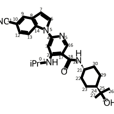 CC(C)Nc1cc(-n2ccc3cc(C#N)ccc32)ncc1C(=O)N[C@H]1CC[C@H](C(C)(C)O)CC1